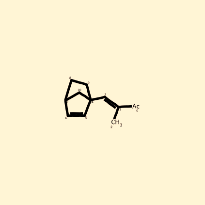 CC(=O)C(C)=CC12C=CC(CC1)C2